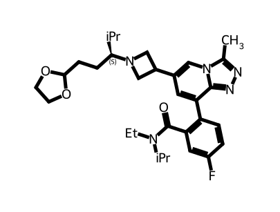 CCN(C(=O)c1cc(F)ccc1-c1cc(C2CN([C@@H](CCC3OCCO3)C(C)C)C2)cn2c(C)nnc12)C(C)C